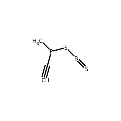 C#CP(C)SB=S